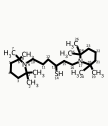 CC1(C)CCCC(C)(C)N1CCCC(S)CCN1C(C)(C)CCCC1(C)C